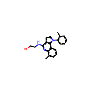 Cc1ccccc1-n1ccc2c(NCCO)nc3c(C)cccc3c21